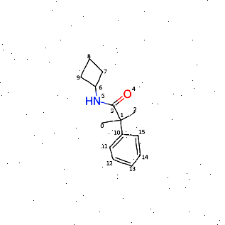 CC(C)(C(=O)NC1CCC1)c1ccccc1